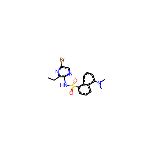 CCc1nc(Br)cnc1NS(=O)(=O)c1cccc2c(N(C)C)cccc12